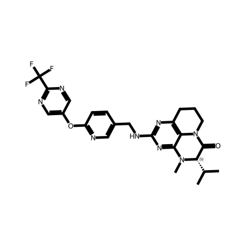 CC(C)[C@H]1C(=O)N2CCCc3nc(NCc4ccc(Oc5cnc(C(F)(F)F)nc5)nc4)nc(c32)N1C